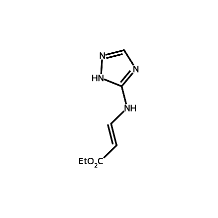 CCOC(=O)C=CNc1ncn[nH]1